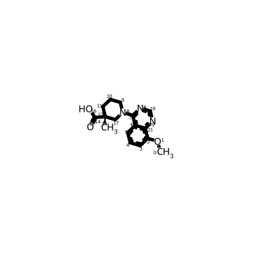 COc1cccc2c(N3CCC[C@@](C)(C(=O)O)C3)ncnc12